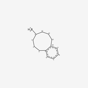 BC1CCCc2ccccc2CCC1